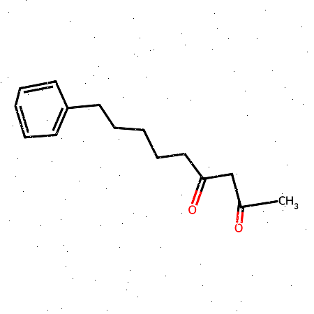 CC(=O)CC(=O)CCCCCc1ccccc1